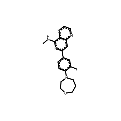 CNc1nc(-c2ccc(N3CCCOCC3)c(F)c2)cc2nccnc12